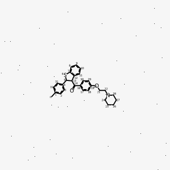 Cc1ccc(C2Sc3ccccc3C2C(=O)c2ccc(OCCN3CCCCC3)cc2)cc1